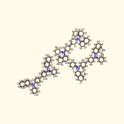 C1=CC(c2ccccc2)(N(c2ccccc2)c2cccc3ccccc23)CC=C1c1ccc(N(c2ccccc2)c2cccc3ccccc23)cc1.c1ccc(N(c2ccc(-c3ccc(N(c4ccccc4)c4ccc5cccc6c5c4CC6)cc3)cc2)c2ccc3cccc4c3c2CC4)cc1.c1ccc(N(c2ccc(-c3ccc(N(c4ccccc4)c4ccc5ccccc5c4)cc3)cc2)c2ccc3ccccc3c2)cc1